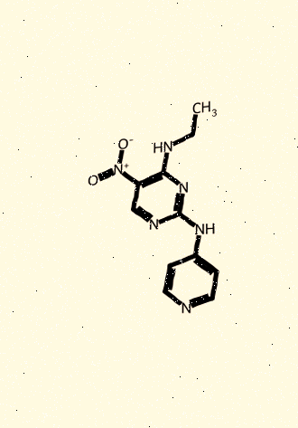 CCNc1nc(Nc2ccncc2)ncc1[N+](=O)[O-]